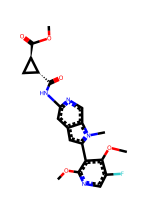 COC(=O)[C@@H]1C[C@H]1C(=O)Nc1cc2cc(-c3c(OC)ncc(F)c3OC)n(C)c2cn1